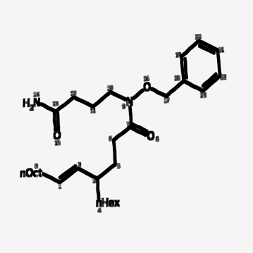 CCCCCCCCC=CC(CCCCCC)CCC(=O)N(CCCC(N)=O)OCc1ccccc1